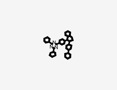 c1ccc(-c2ccc(-c3ccc4ccccc4c3-c3ccc(-c4nc(-c5ccccc5)nc(-c5ccccc5)n4)cc3)cc2)cc1